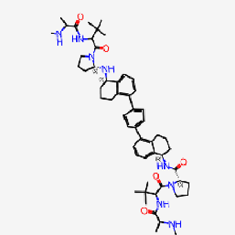 CNC(C)C(=O)NC(C(=O)N1CCC[C@H]1N[C@@H]1CCCc2c(-c3ccc(-c4cccc5c4CCC[C@H]5NC(=O)[C@@H]4CCCN4C(=O)C(NC(=O)C(C)NC)C(C)(C)C)cc3)cccc21)C(C)(C)C